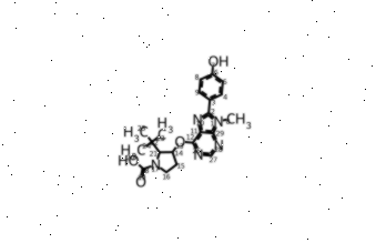 Cn1c(-c2ccc(O)cc2)nc2c(OC3CCN(C(=O)O)C3C(C)(C)C)ncnc21